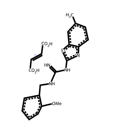 COc1ccccc1CNC(=N)Nc1nc2ccc(C)cc2s1.O=C(O)/C=C/C(=O)O